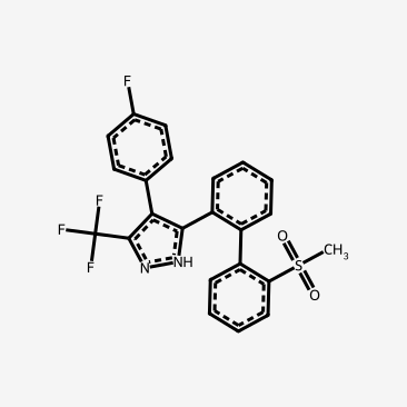 CS(=O)(=O)c1ccccc1-c1ccccc1-c1[nH]nc(C(F)(F)F)c1-c1ccc(F)cc1